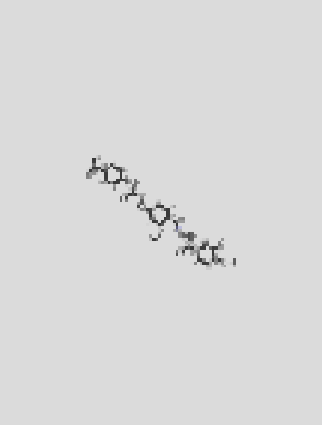 COc1cc(OCC(=O)Nc2ccc(C(C)C)cc2)ccc1/C=N/NC(=O)c1ccc(O)c(Cl)c1